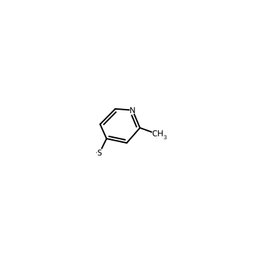 Cc1cc([S])ccn1